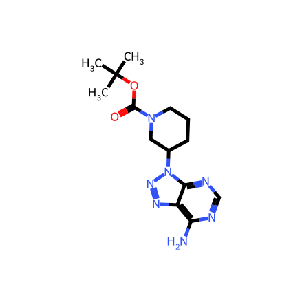 CC(C)(C)OC(=O)N1CCCC(n2nnc3c(N)ncnc32)C1